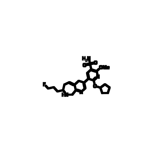 COc1nc(OC2CCCC2)c(C2=CN=C3CNC(CCCF)CC=C3C2)cc1S(N)(=O)=O